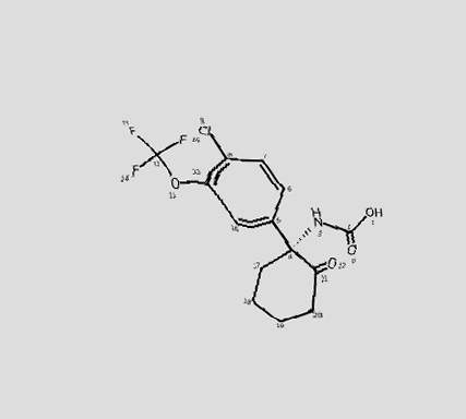 O=C(O)N[C@@]1(c2ccc(Cl)c(OC(F)(F)F)c2)CCCCC1=O